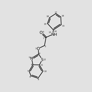 O=C(COc1nc2ccccc2s1)Nc1ccccc1